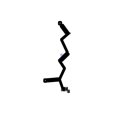 NC(=O)C/C=C/C[C]=O